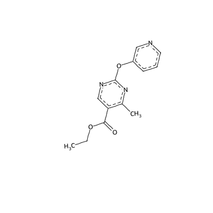 CCOC(=O)c1cnc(Oc2cccnc2)nc1C